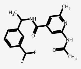 CC(=O)Nc1cc(C(=O)NC(C)c2cccc(C(F)F)c2)cc(C)n1